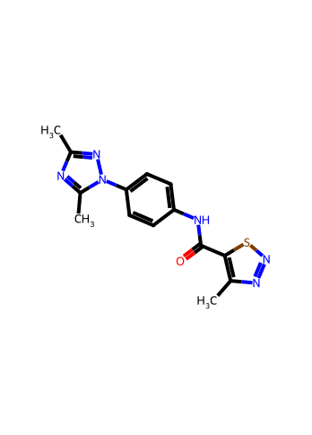 Cc1nc(C)n(-c2ccc(NC(=O)c3snnc3C)cc2)n1